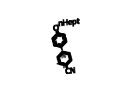 CCCCCCCOc1ccc([C@H]2C[CH][C@H](C#N)CC2)cc1